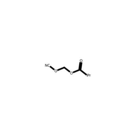 CC(C)C(=O)OCOC#N